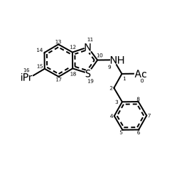 CC(=O)C(Cc1ccccc1)Nc1nc2ccc(C(C)C)cc2s1